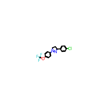 FC(F)(F)Oc1ccc(N2CCC(c3ccc(Cl)cc3)=N2)cc1